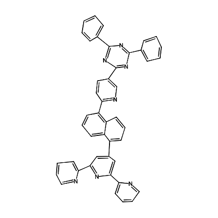 c1ccc(-c2nc(-c3ccccc3)nc(-c3ccc(-c4cccc5c(-c6cc(-c7ccccn7)nc(-c7ccccn7)c6)cccc45)nc3)n2)cc1